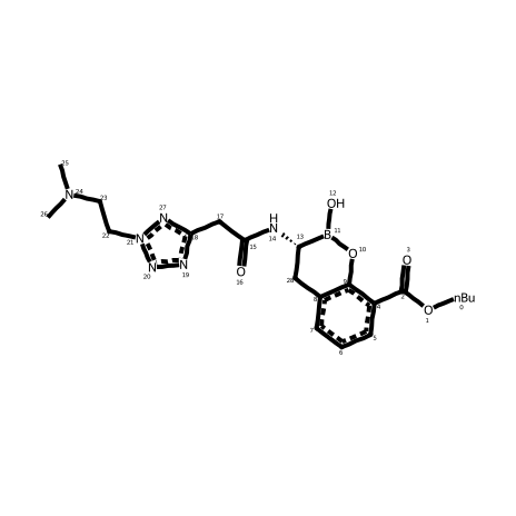 CCCCOC(=O)c1cccc2c1OB(O)[C@@H](NC(=O)Cc1nnn(CCN(C)C)n1)C2